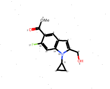 COC(=O)c1cc2cc(CO)n(C3CC3)c2cc1F